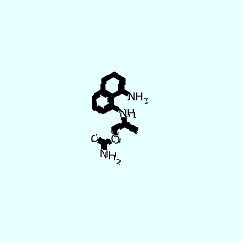 C=C(COC(N)=O)Nc1cccc2c1C(N)=CCC2